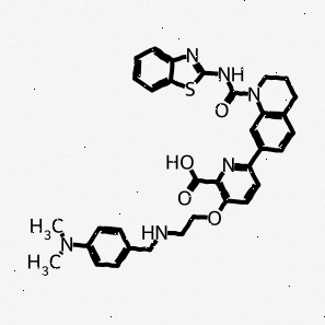 CN(C)c1ccc(CNCCOc2ccc(-c3ccc4c(c3)N(C(=O)Nc3nc5ccccc5s3)CCC4)nc2C(=O)O)cc1